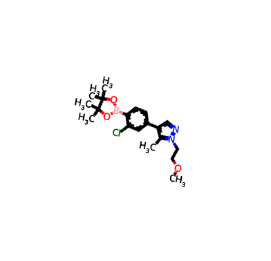 COCCn1ncc(-c2ccc(B3OC(C)(C)C(C)(C)O3)c(Cl)c2)c1C